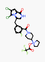 O=C(c1cc(Cc2c[nH]c(=O)c3cc(Cl)c(Cl)n23)ccc1F)N1CCC([N+]2(OC(=O)C(F)(F)F)CCCC2)CC1